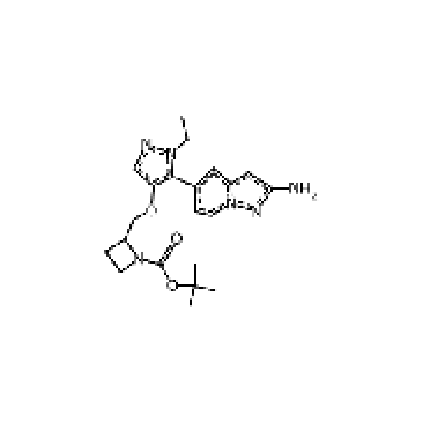 CCn1ncc(OCC2CCN2C(=O)OC(C)(C)C)c1-c1ccn2nc(N)cc2c1